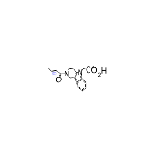 C/C=C/C(=O)N1CCc2c(c3ccccc3n2CC(=O)O)C1